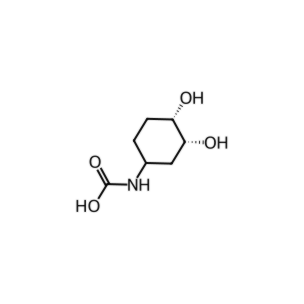 O=C(O)NC1CC[C@H](O)[C@H](O)C1